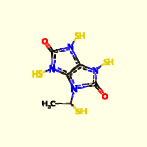 CC(S)n1c(=O)n(S)c2c1n(S)c(=O)n2S